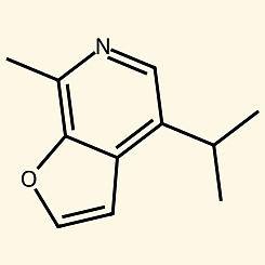 Cc1ncc(C(C)C)c2ccoc12